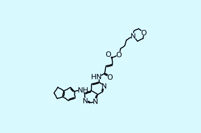 O=C(C=CC(=O)OCCCN1CCOCC1)Nc1cc2c(Nc3ccc4c(c3)CCC4)ncnc2cn1